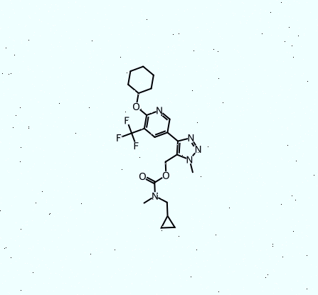 CN(CC1CC1)C(=O)OCc1c(-c2cnc(OC3CCCCC3)c(C(F)(F)F)c2)nnn1C